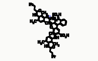 Cc1cc(C)c(NC(=O)CCC(C)C)c(C)c1/N=c1\cc2oc3cc(Nc4c(C)cc(C)c(NC(=O)CCC(C)C)c4C)c(S(=O)(=O)O)cc3c(-c3ccccc3S(=O)(=O)O)c-2cc1S(=O)(=O)O